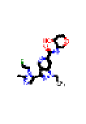 Cc1ncc(-c2nn(CC(F)(F)F)c3cc(C(=O)NC4COCCC4O)ncc23)n1/C=C/F